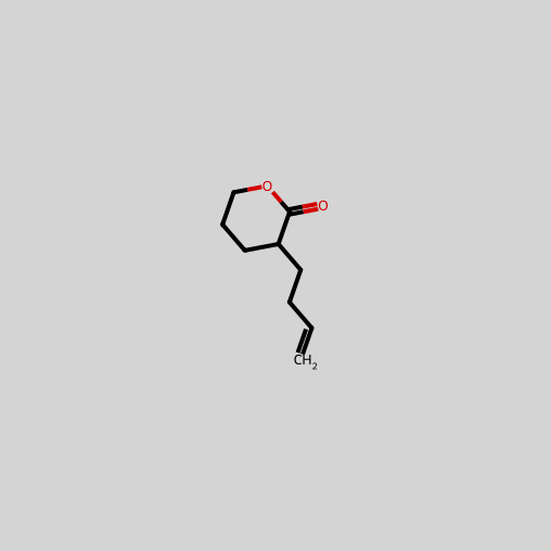 C=CCCC1CCCOC1=O